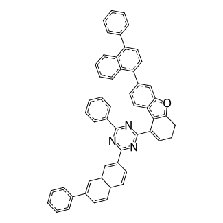 C1=CC2C=CC(c3nc(C4=CCCc5oc6cc(-c7ccc(-c8ccccc8)c8ccccc78)ccc6c54)nc(-c4ccccc4)n3)=CC2C=C1c1ccccc1